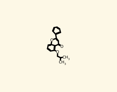 CC(C)COc1cccc2oc(-c3ccccc3)cc(=O)c12